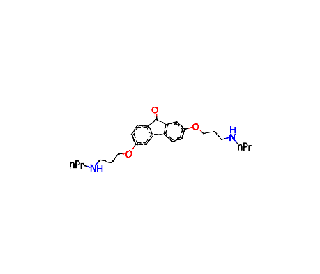 CCCNCCCOc1ccc2c(c1)C(=O)c1ccc(OCCCNCCC)cc1-2